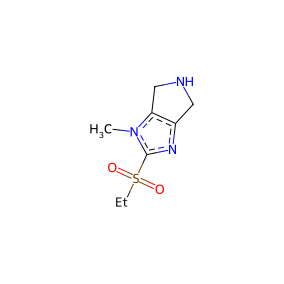 CCS(=O)(=O)c1nc2c(n1C)CNC2